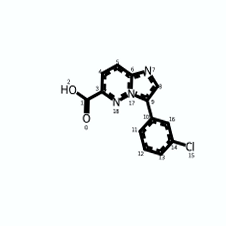 O=C(O)c1ccc2ncc(-c3cccc(Cl)c3)n2n1